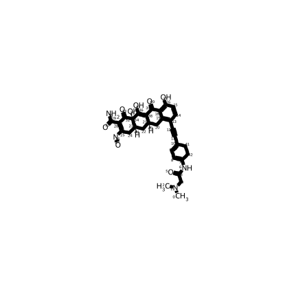 CN(C)CC(=O)NC1=CC=C(C#Cc2ccc(O)c3c2C[C@H]2C[C@H]4CC(N=O)=C(C(N)=O)C(=O)[C@@]4(O)C(O)=C2C3=O)CC1